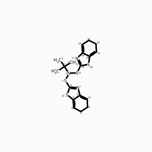 CC(C)(C)N(Sc1nc2c(s1)=CCCC=2)Sc1nc2c(s1)=CCCC=2